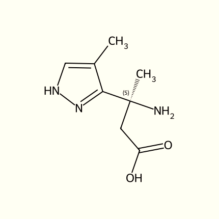 Cc1c[nH]nc1[C@@](C)(N)CC(=O)O